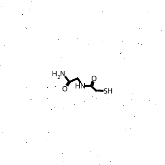 NC(=O)CNC(=O)CS